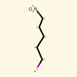 O=[N+]([O-])CCCCCI